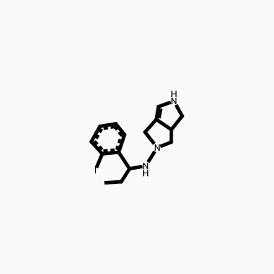 CCC(NN1CC2=CNCC2C1)c1ccccc1I